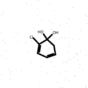 OC1(O)CC=CC=C1Cl